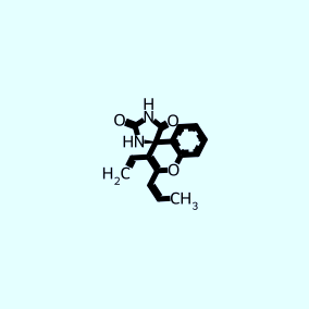 C=CC1=C(/C=C\C)Oc2ccccc2[C@]12NC(=O)NC2=O